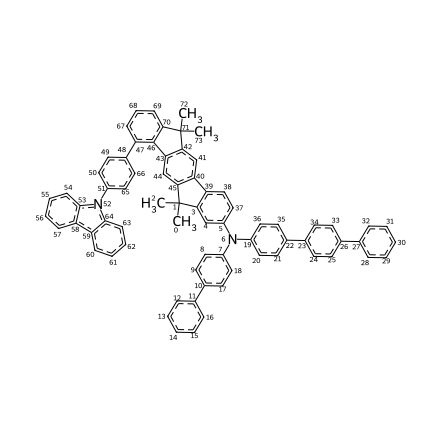 CC1(C)c2cc(N(c3ccc(-c4ccccc4)cc3)c3ccc(-c4ccc(-c5ccccc5)cc4)cc3)ccc2-c2cc3c(cc21)-c1c(-c2ccc(-n4c5ccccc5c5ccccc54)cc2)cccc1C3(C)C